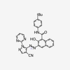 CC(C)(C)c1ccc(NC(=O)c2c(O)c(/N=N/c3c(C#N)cnn3-c3ncccn3)cc3ccccc23)cc1